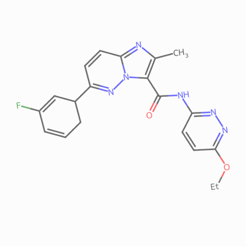 CCOc1ccc(NC(=O)c2c(C)nc3ccc(C4C=C(F)C=CC4)nn23)nn1